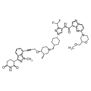 COCC1CN(c2ccn3ncc(C(=O)Nc4cn([C@H]5CC[C@H](CN6CC[C@H](OCC#Cc7cccc8c(C9CCC(=O)NC9=O)nn(C)c78)[C@H](F)C6)CC5)nc4C(F)F)c3n2)CCO1